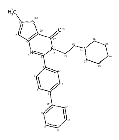 Cc1cc2nc(-c3ccc(-c4ccccc4)cc3)n(CCN3CCCCC3)c(=O)c2s1